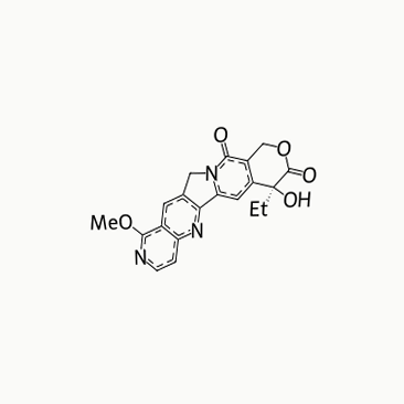 CC[C@@]1(O)C(=O)OCc2c1cc1n(c2=O)Cc2cc3c(OC)nccc3nc2-1